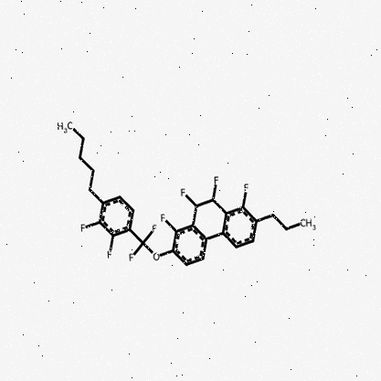 CCCCCc1ccc(C(F)(F)Oc2ccc3c(c2F)C(F)C(F)c2c-3ccc(CCC)c2F)c(F)c1F